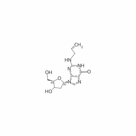 C=CCNc1nc2c(ncn2[C@H]2CC(O)[C@@H](CO)O2)c(=O)[nH]1